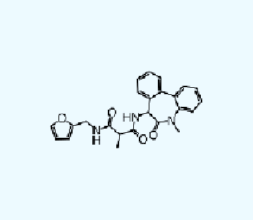 CC(C(=O)NCc1ccco1)C(=O)NC1C(=O)N(C)c2ccccc2-c2ccccc21